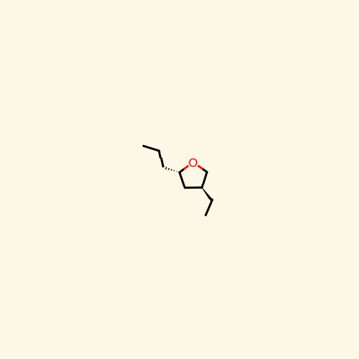 CCC[C@H]1C[C@H](CC)CO1